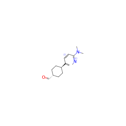 C=C(/C=C\C(=N/C)N(C)C)[C@H]1CC[C@H](C=O)CC1